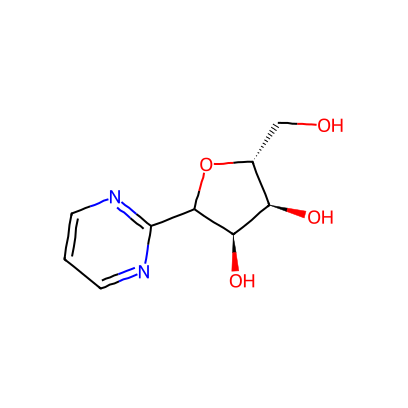 OC[C@H]1OC(c2ncccn2)[C@H](O)[C@@H]1O